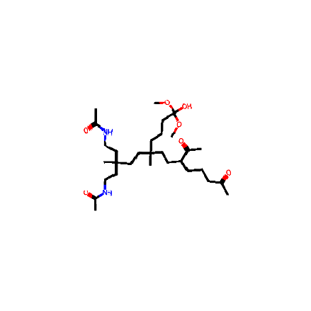 COC(O)(CCCC(C)(CCC(CCCC(C)=O)C(C)=O)CCC(C)(CCNC(C)=O)CCNC(C)=O)OC